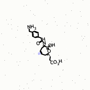 NCc1ccc(CC(=O)N[C@H]2C/C=C\C[C@@H](CCC(=O)O)OB2O)cc1